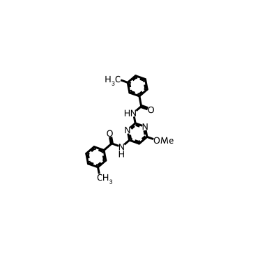 COc1cc(NC(=O)c2cccc(C)c2)nc(NC(=O)c2cccc(C)c2)n1